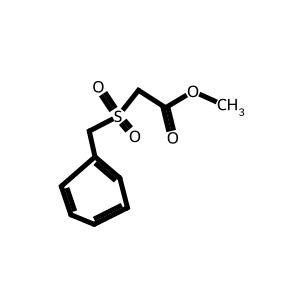 COC(=O)CS(=O)(=O)Cc1ccccc1